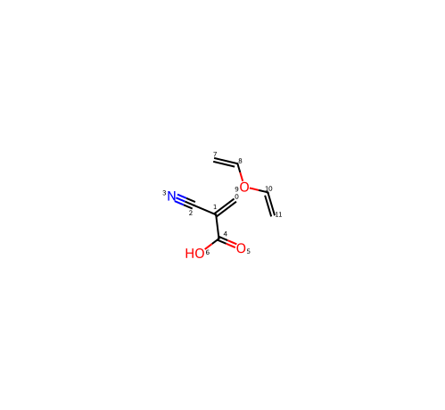 C=C(C#N)C(=O)O.C=COC=C